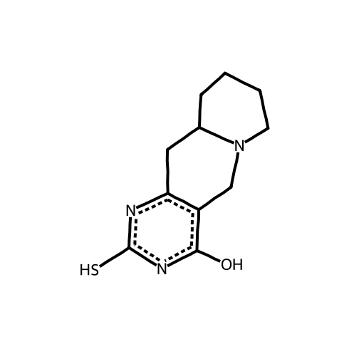 Oc1nc(S)nc2c1CN1CCCCC1C2